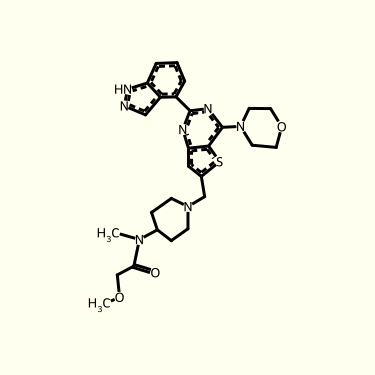 COCC(=O)N(C)C1CCN(Cc2cc3nc(-c4cccc5[nH]ncc45)nc(N4CCOCC4)c3s2)CC1